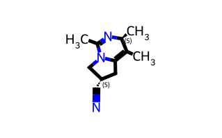 CC1=N[C@@H](C)C(C)=C2C[C@H](C#N)CN12